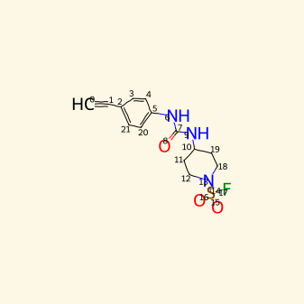 C#Cc1ccc(NC(=O)NC2CCN(S(=O)(=O)F)CC2)cc1